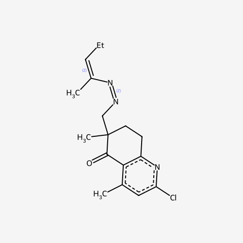 CC/C=C(C)\N=N/CC1(C)CCc2nc(Cl)cc(C)c2C1=O